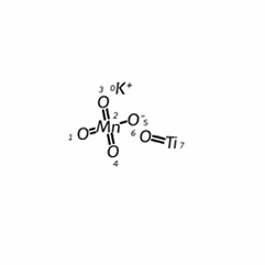 [K+].[O]=[Mn](=[O])(=[O])[O-].[O]=[Ti]